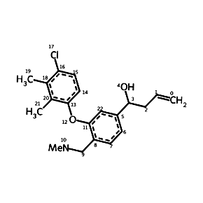 C=CCC(O)c1ccc(CNC)c(Oc2ccc(Cl)c(C)c2C)c1